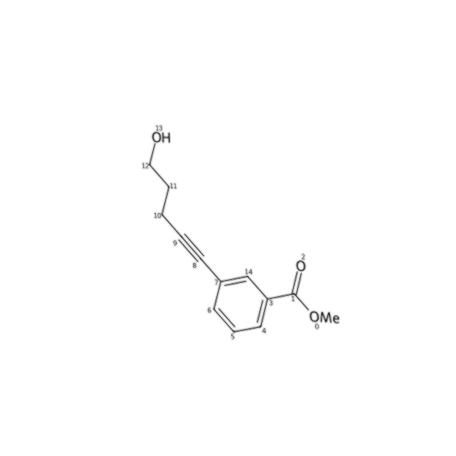 COC(=O)c1cccc(C#CCCCO)c1